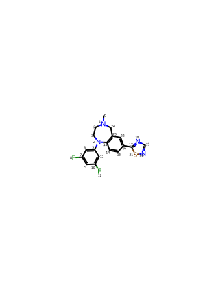 CN1CCN(c2cc(F)cc(F)c2)c2ccc(-c3ncns3)cc2C1